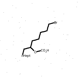 CCCCCCCCC(CCCCCBr)OC(=O)O